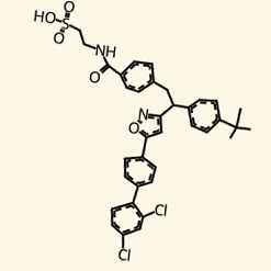 CC(C)(C)c1ccc(C(Cc2ccc(C(=O)NCCS(=O)(=O)O)cc2)c2cc(-c3ccc(-c4ccc(Cl)cc4Cl)cc3)on2)cc1